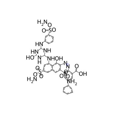 NOS(=O)(=O)c1cccc(NC2NC(O)NC(Nc3cc(S(=O)(=O)ON)cc4cc(S(=O)(=O)ON)c(/N=N\c5ccc(-c6ccccc6)cc5C(=O)O)c(O)c34)N2)c1